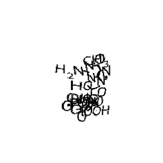 Cn1c(N)nc2c(ncn2C2OC(OP(=O)(O)OP(=O)(O)OP(=O)(O)O)C(O)C2O)c1=O